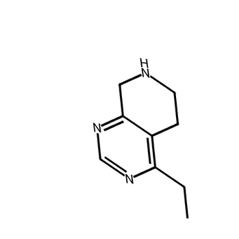 CCc1ncnc2c1CCNC2